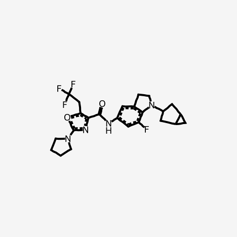 O=C(Nc1cc(F)c2c(c1)CCN2C1CC2CC2C1)c1nc(N2CCCC2)oc1CC(F)(F)F